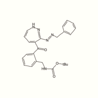 CC(C)(C)OC(=O)NCc1ccccc1C(=O)C1=CC=CNN=C1N=NCc1ccccc1